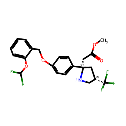 COC(=O)C[C@]1(c2ccc(OCc3ccccc3OC(F)F)cc2)C[C@H](C(F)(F)F)CN1